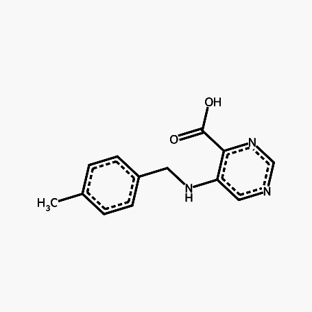 Cc1ccc(CNc2cncnc2C(=O)O)cc1